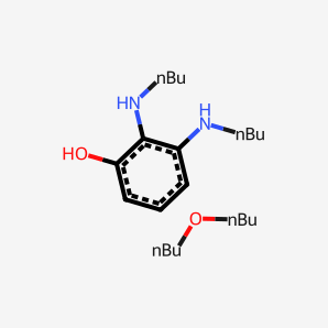 CCCCNc1cccc(O)c1NCCCC.CCCCOCCCC